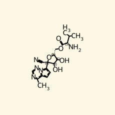 Cc1ncnn2c([C@]3(C#N)O[C@H](COC(=O)[C@@H](N)C(C)C)[C@@H](O)[C@H]3O)ccc12